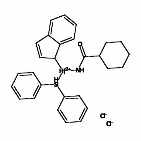 O=C([NH][Hf+2]([CH]1C=Cc2ccccc21)[SiH](c1ccccc1)c1ccccc1)C1CCCCC1.[Cl-].[Cl-]